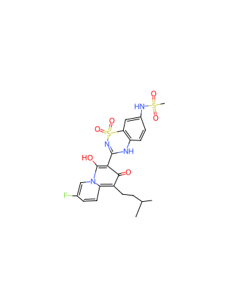 CC(C)CCc1c(=O)c(C2=NS(=O)(=O)c3cc(NS(C)(=O)=O)ccc3N2)c(O)n2cc(F)ccc12